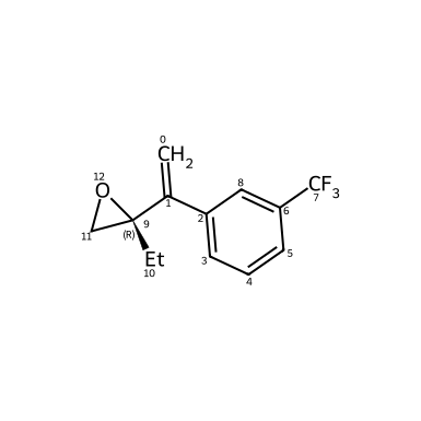 C=C(c1cccc(C(F)(F)F)c1)[C@]1(CC)CO1